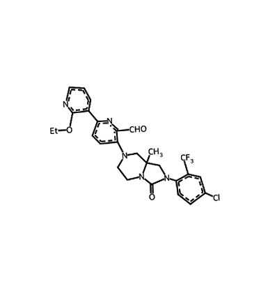 CCOc1ncccc1-c1ccc(N2CCN3C(=O)N(c4ccc(Cl)cc4C(F)(F)F)CC3(C)C2)c(C=O)n1